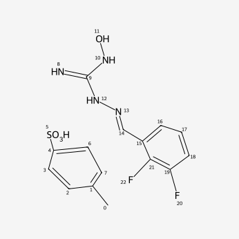 Cc1ccc(S(=O)(=O)O)cc1.N=C(NO)NN=Cc1cccc(F)c1F